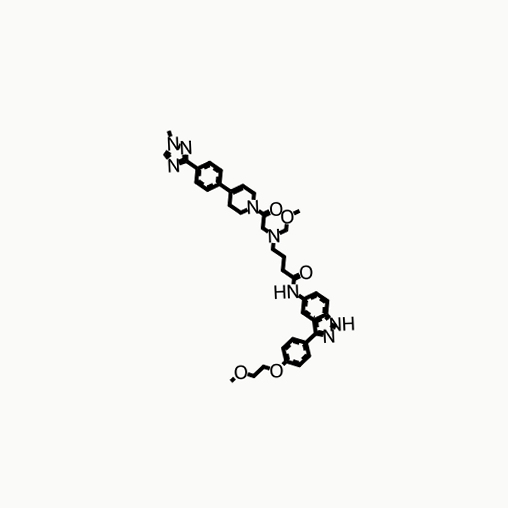 COCCOc1ccc(-c2n[nH]c3ccc(NC(=O)CCCN(COC)CC(=O)N4CC=C(c5ccc(-c6ncn(C)n6)cc5)CC4)cc23)cc1